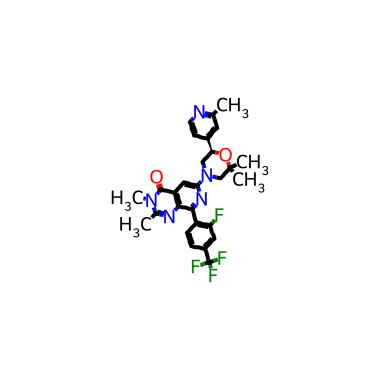 Cc1cc([C@@H]2CN(c3cc4c(=O)n(C)c(C)nc4c(-c4ccc(C(F)(F)F)cc4F)n3)CC(C)(C)O2)ccn1